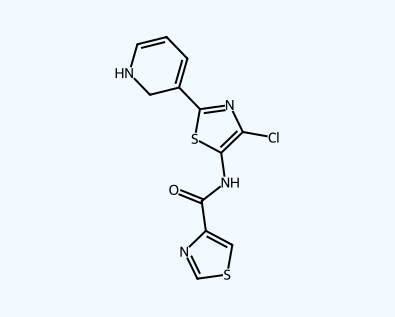 O=C(Nc1sc(C2=CC=CNC2)nc1Cl)c1cscn1